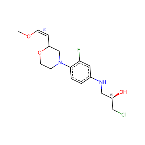 CO/C=C\C1CN(c2ccc(NC[C@@H](O)CCl)cc2F)CCO1